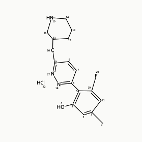 Cc1cc(O)c(-c2ccc(CC3CCCNC3)nn2)c(F)c1.Cl